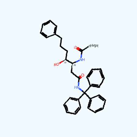 CCCCCCCC(=O)N[C@@H](CC(=O)NC(c1ccccc1)(c1ccccc1)c1ccccc1)[C@@H](O)CCCc1ccccc1